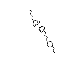 CCCCC[C@H]1CO[C@H](c2ccc(CCCC[C@H]3CC[C@H](CCC)CC3)cc2)OC1